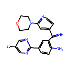 CCc1cnc(-c2ccc(N)c(C(=N)c3ccnc(N4CCOCC4)c3)c2)nc1